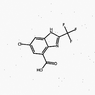 O=C(O)c1cc(Cl)cc2[nH]c(C(F)(F)F)nc12